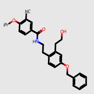 [C-]#[N+]c1cc(C(=O)NCCc2ccc(OCc3ccccc3)cc2CCO)ccc1OC(C)C